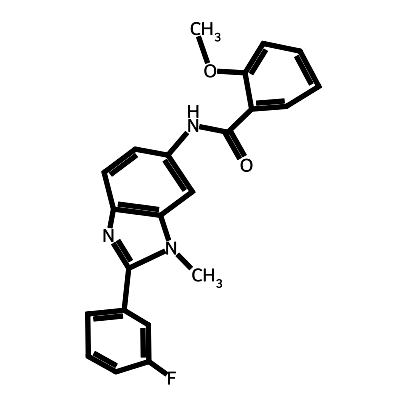 COc1ccccc1C(=O)Nc1ccc2nc(-c3cccc(F)c3)n(C)c2c1